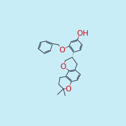 CC1(C)CCc2c(ccc3c2OC[C@H](c2ccc(O)cc2OCc2ccccc2)C3)O1